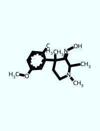 COc1ccc(C)c(C2(C)CCN(C)C(C)/C2=N\O)c1